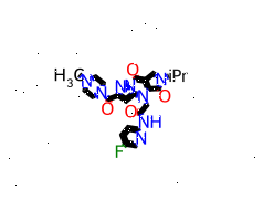 CC(C)N1Cc2c(n(CC(=O)Nc3ccc(F)cn3)c3cc(C(=O)N4CCN(C)CC4)nn3c2=O)C1=O